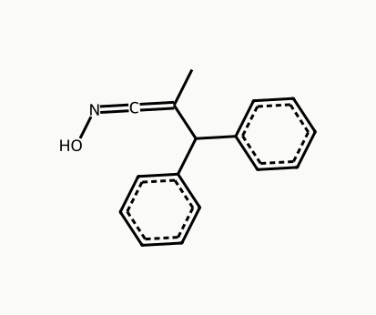 CC(=C=NO)C(c1ccccc1)c1ccccc1